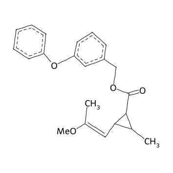 COC(C)=CC1C(C)C1C(=O)OCc1cccc(Oc2ccccc2)c1